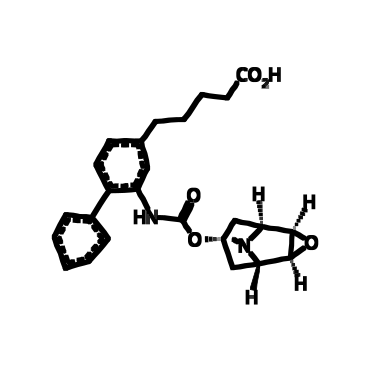 CN1[C@H]2C[C@H](OC(=O)Nc3cc(CCCCC(=O)O)ccc3-c3ccccc3)C[C@H]1[C@H]1O[C@H]12